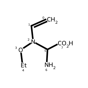 C=CN(OCC)C(N)C(=O)O